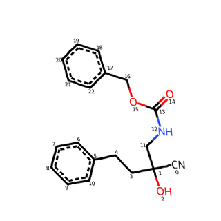 N#CC(O)(CCc1ccccc1)CNC(=O)OCc1ccccc1